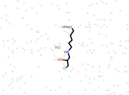 CCCCCCCCCCCCNCC(O)CCl.Cl